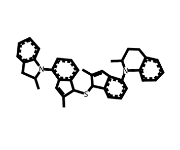 CC1=Cc2c(cccc2N2c3ccccc3CCC2C)C1SC1C(C)=Cc2c1cccc2N1c2ccccc2CC1C